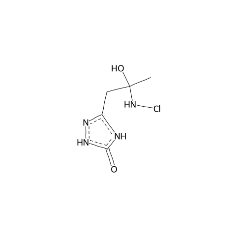 CC(O)(Cc1n[nH]c(=O)[nH]1)NCl